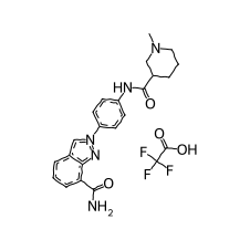 CN1CCCC(C(=O)Nc2ccc(-n3cc4cccc(C(N)=O)c4n3)cc2)C1.O=C(O)C(F)(F)F